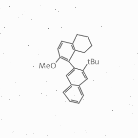 COc1ccc2c(c1-c1cc3ccccc3cc1C(C)(C)C)CCCC2